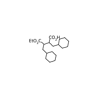 CCOC(=O)C(CC1CCCCC1)C(CC1CCCCC1)C(=O)O